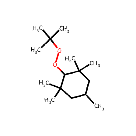 CC1CC(C)(C)C(OOC(C)(C)C)C(C)(C)C1